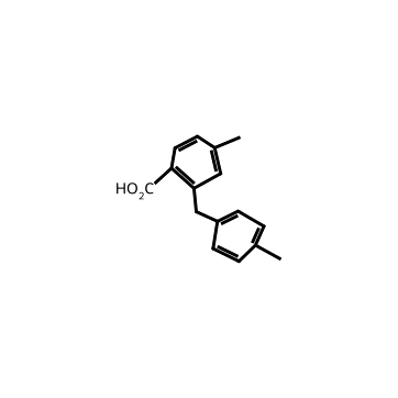 Cc1ccc(Cc2cc(C)ccc2C(=O)O)cc1